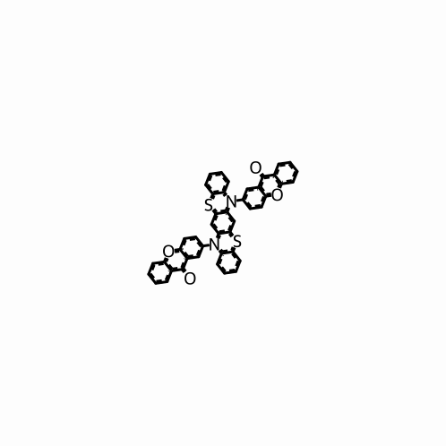 O=c1c2ccccc2oc2ccc(-n3c4ccccc4sc4cc5c(cc43)sc3ccccc3n5-c3ccc4oc5ccccc5c(=O)c4c3)cc12